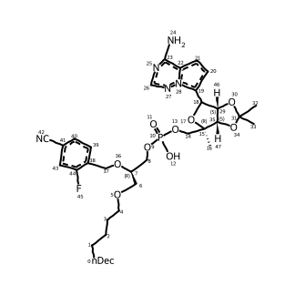 CCCCCCCCCCCCCCOC[C@H](COP(=O)(O)OC[C@@]1(C)OC(c2ccc3c(N)ncnn23)[C@@H]2OC(C)(C)O[C@@H]21)OCc1ccc(C#N)cc1F